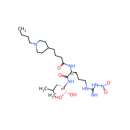 CCCCN1CCC(CCCC(=O)N[C@@H](CCCNC(=N)N[N+](=O)[O-])C(=O)N[C@@H](CC(C)C)B(O)O)CC1